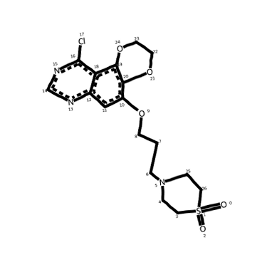 O=S1(=O)CCN(CCCOc2cc3ncnc(Cl)c3c3c2OCCO3)CC1